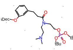 CCCCCCCCCCOc1cccc(CCC(=O)N(CCOP(=O)(OC(C)(C)C)OC(C)(C)C)CCN(C)C)c1